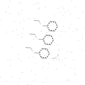 CCSc1ccccc1.CCSc1ccccc1.CCSc1ccccc1.[Cl][Ru]([Cl])[Cl]